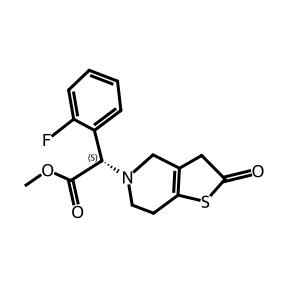 COC(=O)[C@H](c1ccccc1F)N1CCC2=C(CC(=O)S2)C1